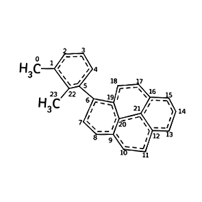 Cc1cccc(-c2ccc3ccc4cccc5ccc2c3c45)c1C